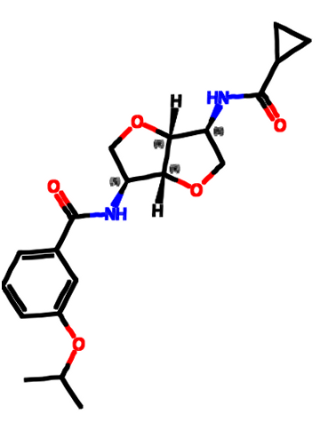 CC(C)Oc1cccc(C(=O)N[C@H]2CO[C@H]3[C@@H]2OC[C@@H]3NC(=O)C2CC2)c1